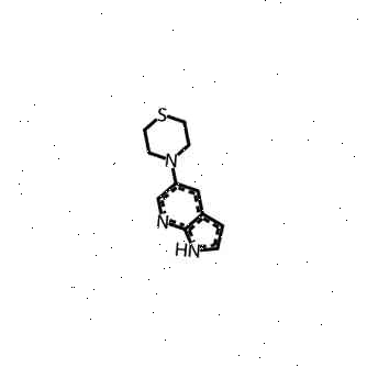 c1cc2cc(N3CCSCC3)cnc2[nH]1